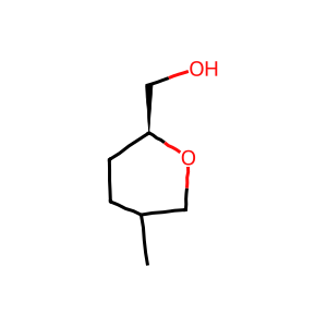 CC1CC[C@@H](CO)OC1